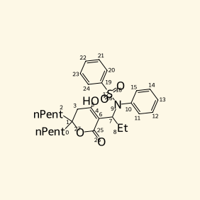 CCCCCC1(CCCCC)CC(O)=C(C(CC)N(c2ccccc2)S(=O)(=O)c2ccccc2)C(=O)O1